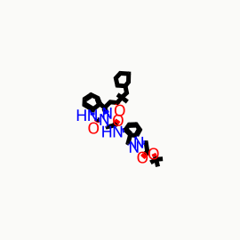 CC(C)(C)OC(=O)Cn1ncc2c(NC(=O)CN3N=C(CC(=O)C(C)(C)CC4CCCCC4)c4ccccc4NC3=O)cccc21